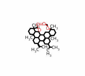 CC(C)=C1CCC2C3C1C1=C4C(CC5C(C)(OC=O)CCCC5(C)C4CC(C(C)C)C1)C3CC1C(C)(C(=O)O)CCCC21C